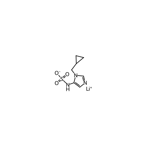 O=S(=O)([O-])Nc1cncn1CC1CC1.[Li+]